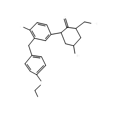 CCOc1ccc(Cc2cc(C3CC(O)CC(CO)C3=O)ccc2Cl)cc1